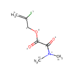 C=C(F)COC(=O)C(=O)N(C)C